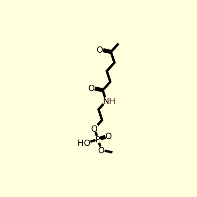 COP(=O)(O)OCCNC(=O)CCCC(C)=O